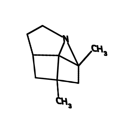 CC12CC3CCN4C(C)(C1)C342